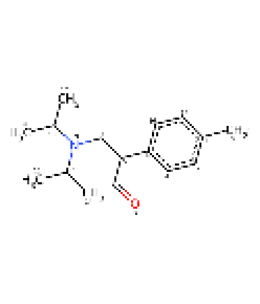 [CH2]c1ccc(C(C=O)CN(C(C)C)C(C)C)cc1